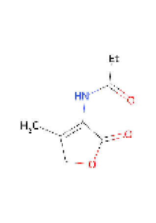 CCC(=O)NC1=C(C)COC1=O